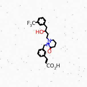 O=C(O)C=Cc1cccc(CN2C(=O)CCCN2CCC(O)Cc2cccc(C(F)(F)F)c2)c1